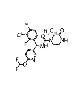 C[C@@H]1C(=O)NCCN1C(=O)NC(c1ccc(OC(F)F)nc1)c1ccc(F)c(Cl)c1F